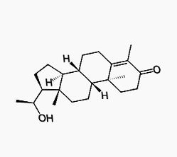 CC1=C2CC[C@@H]3[C@@H](CC[C@]4(C)[C@@H]([C@H](C)O)CC[C@@H]34)[C@]2(C)CCC1=O